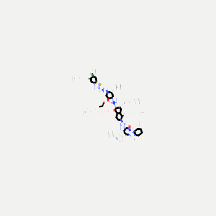 Cc1cc(N=Nc2c(S(=O)(=O)O)cc3c(S(=O)(=O)O)c(N=Nc4c(C)c(C#N)c5nc6ccccc6n5c4O)ccc3c2O)c(OCCCS(=O)(=O)O)cc1N=Nc1nc2cc(S(=O)(=O)O)c(Cl)cc2s1